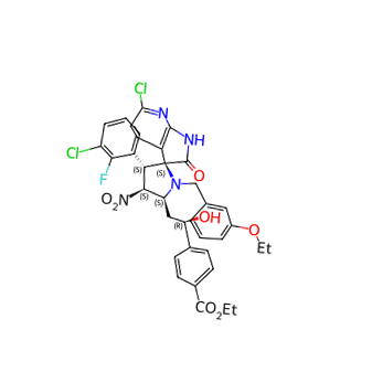 CCOC(=O)c1ccc([C@H](O)C[C@H]2[C@@H]([N+](=O)[O-])[C@H](c3cccc(Cl)c3F)[C@]3(C(=O)Nc4nc(Cl)ccc43)N2Cc2cccc(OCC)c2)cc1